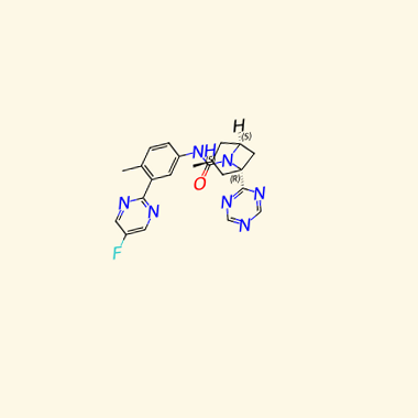 Cc1ccc(NC(=O)N2[C@H]3C[C@H](C)C[C@]2(c2ncncn2)C3)cc1-c1ncc(F)cn1